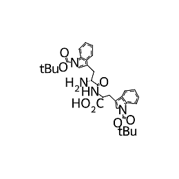 CC(C)(C)OC(=O)n1cc(C[C@@H](N)C(=O)N[C@@H](Cc2cn(C(=O)OC(C)(C)C)c3ccccc23)C(=O)O)c2ccccc21